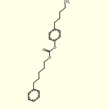 CCCCCc1ccc(OC(=O)OCCCCCc2ccccc2)cc1